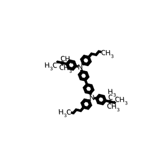 CCCCc1ccc(N(c2ccc(-c3ccc(N(c4ccc(CCCC)cc4)c4ccc(C(C)(C)CC)cc4)cc3)cc2)c2ccc(C(C)(C)CC)cc2)cc1